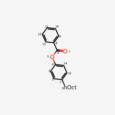 CCCCCCCCc1ccc(OC(=O)c2ccccc2)cc1